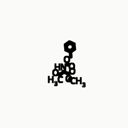 COC(=O)C(NC(=O)OCc1ccccc1)C(C)=O